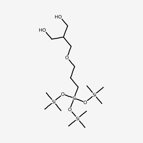 C[Si](C)(C)O[Si](CCCOCC(CO)CO)(O[Si](C)(C)C)O[Si](C)(C)C